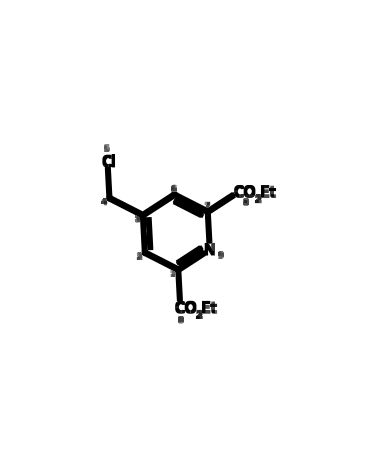 CCOC(=O)c1cc(CCl)cc(C(=O)OCC)n1